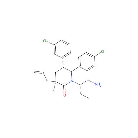 C=CC[C@@]1(C)C[C@H](c2cccc(Cl)c2)C(c2ccc(Cl)cc2)N([C@@H](CC)CN)C1=O